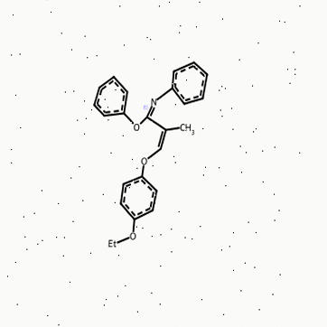 CCOc1ccc(OC=C(C)/C(=N\c2ccccc2)Oc2ccccc2)cc1